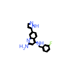 Nc1cc(NCc2cccc(F)c2)c2ccc(-c3ccn[nH]3)cc2n1